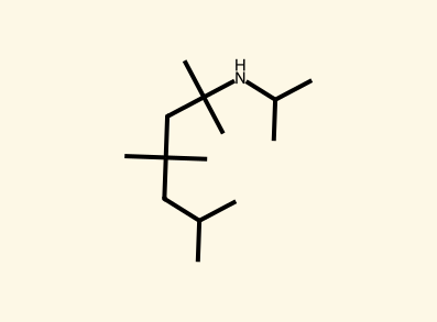 CC(C)CC(C)(C)CC(C)(C)NC(C)C